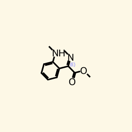 C/N=C(/C(=O)OC)c1ccccc1NC